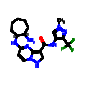 Cn1cc(NC(=O)C2=C3N=C(N[C@H]4CCCCC[C@H]4N)C=CN3NC2)c(C(F)(F)F)n1